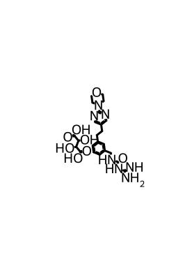 N=C(N)NC(=O)NCc1cccc(CCc2cnc(N3CCOCC3)nc2)c1.O=C(O)C(O)C(O)C(=O)O